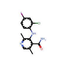 Cc1cnc(C)c(Nc2ccc(I)cc2Cl)c1C(N)=O